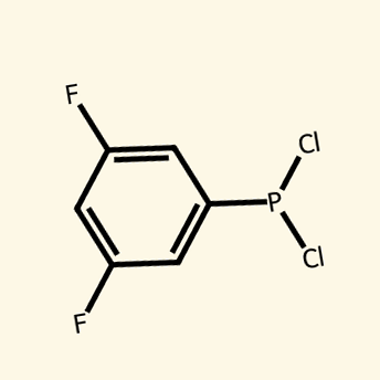 Fc1cc(F)cc(P(Cl)Cl)c1